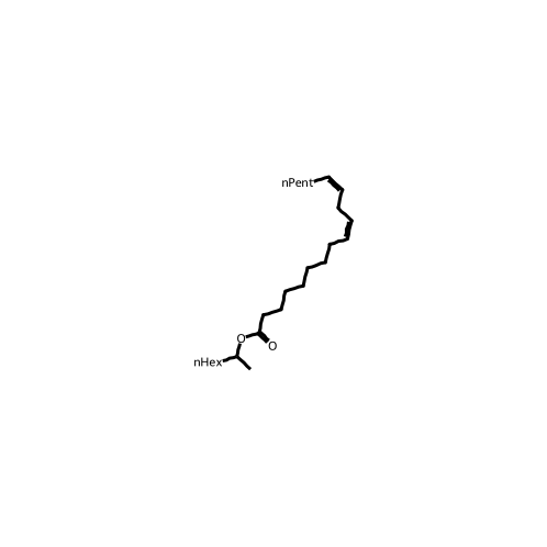 CCCCC/C=C\C/C=C\CCCCCCCC(=O)OC(C)CCCCCC